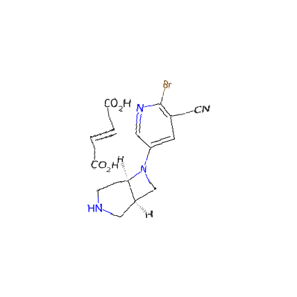 N#Cc1cc(N2C[C@H]3CNC[C@H]32)cnc1Br.O=C(O)/C=C/C(=O)O